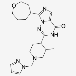 CC1CN(Cn2cccn2)CCC1c1nn2c(C3CCCOCC3)ncc2c(=O)[nH]1